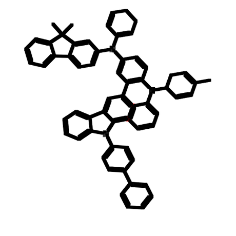 CC1=CCC(N(c2ccccc2)c2ccc(N(C3=CCCC=C3)c3ccc4c(c3)C(C)(C)c3ccccc3-4)cc2-c2ccc3c(c2)c2ccccc2n3-c2ccc(-c3ccccc3)cc2)C=C1